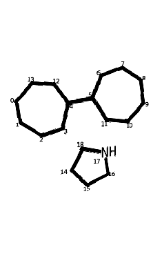 C1CCCC(C2CCCCCC2)CC1.C1CCNC1